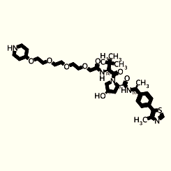 Cc1ncsc1-c1ccc([C@H](C)NC(=O)[C@@H]2C[C@@H](O)CN2C(=O)[C@@H](NC(=O)COCCOCCOCCOC2CCNCC2)C(C)(C)C)cc1